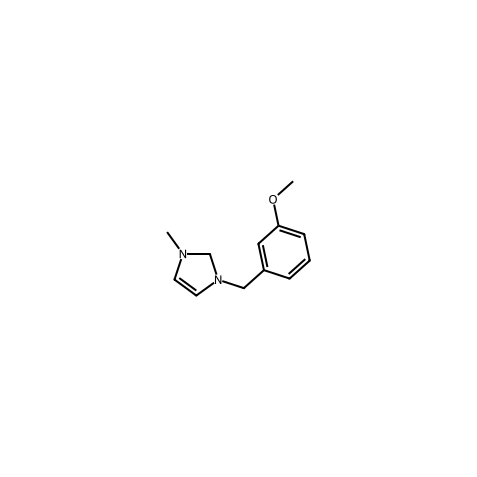 COc1cccc(CN2C=CN(C)C2)c1